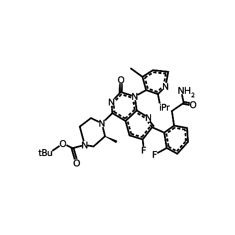 Cc1ccnc(C(C)C)c1-n1c(=O)nc(N2CCN(C(=O)OC(C)(C)C)C[C@@H]2C)c2cc(F)c(-c3c(F)cccc3CC(N)=O)nc21